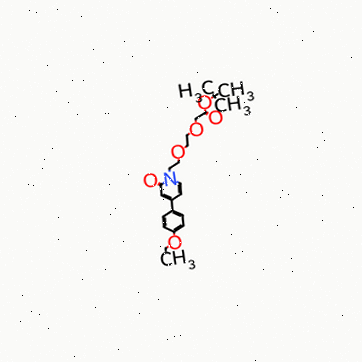 CCOc1ccc(-c2ccn(CCOCCOCC(=O)OC(C)(C)C)c(=O)c2)cc1